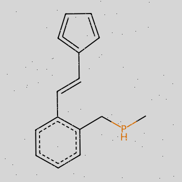 CPCc1ccccc1C=CC1=C=CC=C1